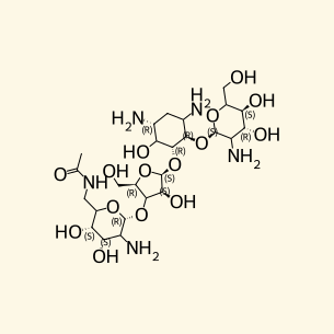 CC(=O)NCC1O[C@H](OC2[C@@H](CO)O[C@@H](O[C@@H]3C(O)[C@H](N)CC(N)[C@H]3O[C@H]3OC(CO)[C@@H](O)[C@H](O)C3N)[C@H]2O)C(N)[C@H](O)[C@@H]1O